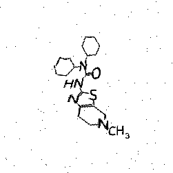 CN1CCc2nc(NC(=O)N(C3CCCCC3)C3CCCCC3)sc2C1